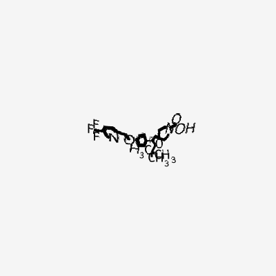 CC(C)(C)C1OC2(CCN(C(=O)O)CC2)C[C@@H]1c1ccc(OCc2ccc(C(F)(F)F)cn2)cc1